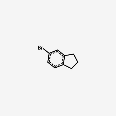 Brc1ccc2c(c1)CC[C]2